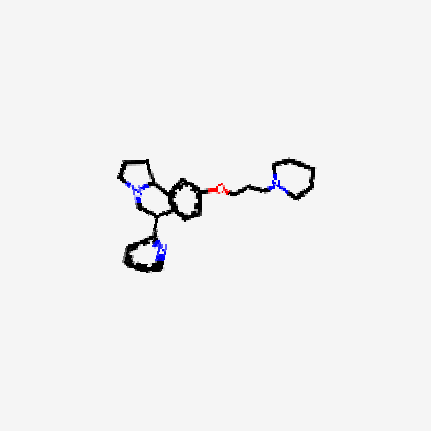 c1ccc(C2CN3CCCC3c3cc(OCCCN4CCCCC4)ccc32)nc1